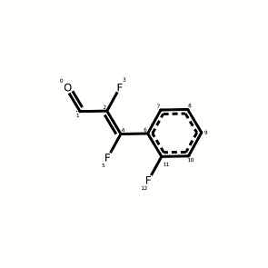 O=[C]C(F)=C(F)c1ccccc1F